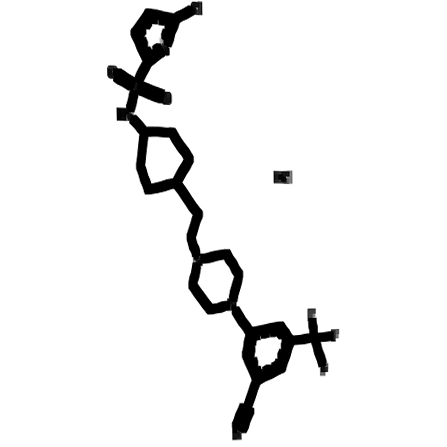 Cl.N#Cc1cc(N2CCN(CCC3CCC(NS(=O)(=O)c4ccc(Cl)s4)CC3)CC2)cc(C(F)(F)F)c1